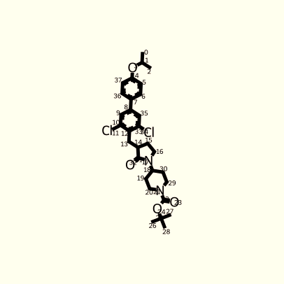 CC(C)Oc1ccc(-c2cc(Cl)c(CC3CCN(C4CCN(C(=O)OC(C)(C)C)CC4)C3=O)c(Cl)c2)cc1